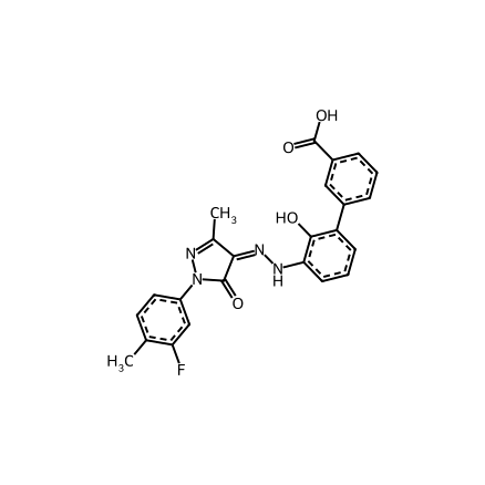 CC1=NN(c2ccc(C)c(F)c2)C(=O)/C1=N\Nc1cccc(-c2cccc(C(=O)O)c2)c1O